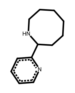 c1ccc(C2CCCCCCN2)nc1